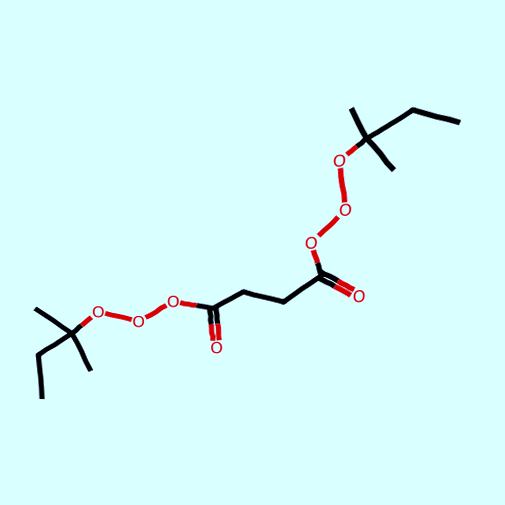 CCC(C)(C)OOOC(=O)CCC(=O)OOOC(C)(C)CC